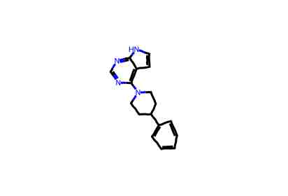 c1ccc(C2CCN(c3ncnc4[nH]ccc34)CC2)cc1